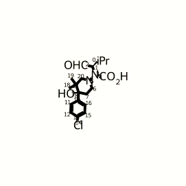 CC(C)[C@H](C=O)N(C(=O)O)N1CC[C@](O)(c2ccc(Cl)cc2)C(C)(C)C1